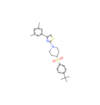 Cc1cc(C)cc(-c2csc(N3CCC(S(=O)(=O)c4ccc(C(C)(C)C)cc4)CC3)n2)c1